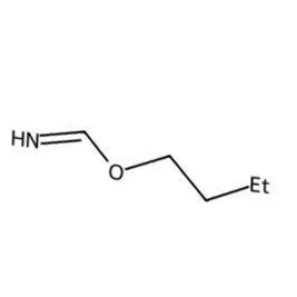 CCCCOC=N